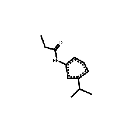 CCC(=O)Nc1cccc(C(C)C)c1